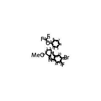 CO[C@@H]1C[C@H](c2ccccc2OC(F)F)n2c1nc1cc(F)c(Br)cc12